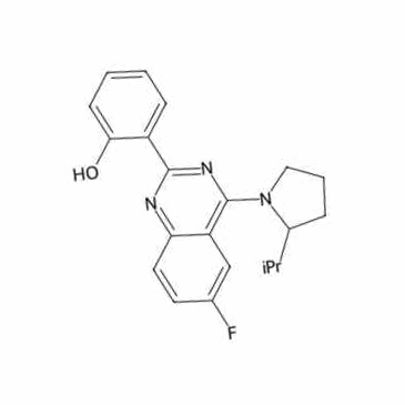 CC(C)C1CCCN1c1nc(-c2ccccc2O)nc2ccc(F)cc12